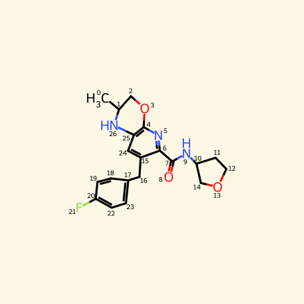 CC1COc2nc(C(=O)NC3CCOC3)c(Cc3ccc(F)cc3)cc2N1